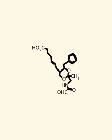 CC1(CNC(=O)C=O)OCC(CC=CCCCC(=O)O)C(Cc2ccccc2)O1